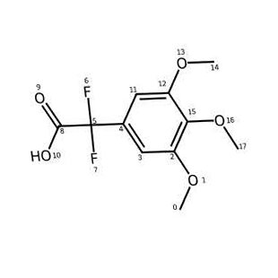 COc1cc(C(F)(F)C(=O)O)cc(OC)c1OC